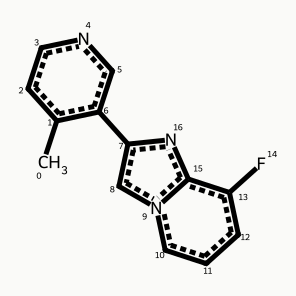 Cc1ccncc1-c1cn2cccc(F)c2n1